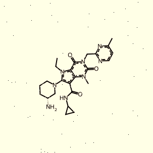 CCn1c(N2CCC[C@@H](N)C2)c(C(=O)NC2CC2)c2c1c(=O)n(Cc1nccc(C)n1)c(=O)n2C